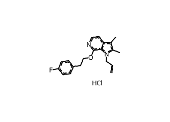 C=CCn1c(C)c(C)c2ccnc(OCCc3ccc(F)cc3)c21.Cl